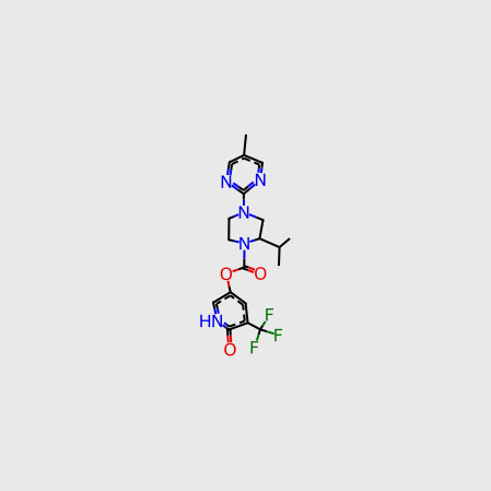 Cc1cnc(N2CCN(C(=O)Oc3c[nH]c(=O)c(C(F)(F)F)c3)C(C(C)C)C2)nc1